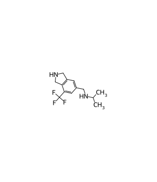 CC(C)NCc1cc2c(c(C(F)(F)F)c1)CNC2